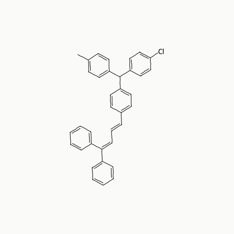 Cc1ccc(C(c2ccc(Cl)cc2)c2ccc(C=CC=C(c3ccccc3)c3ccccc3)cc2)cc1